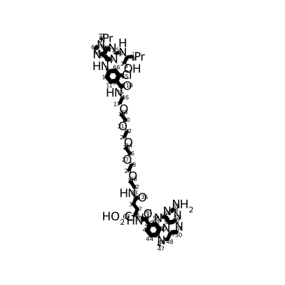 CC(C)C(CO)Nc1nc(Nc2ccc(C(=O)NCCOCCOCCOCCOCCOCCNC(=O)CC[C@H](NC(=O)c3ccc(N(C)Cc4cnc5nc(N)nc(N)c5n4)cc3)C(=O)O)c(Cl)c2)c2ncn(C(C)C)c2n1